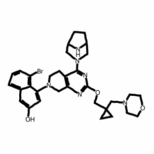 Oc1cc(N2CCc3c(nc(OCC4(CN5CCOCC5)CC4)nc3N3CC4CCC(C3)N4)C2)c2c(Br)cccc2c1